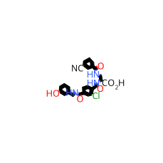 N#Cc1cccc(C(=O)NC[C@H](NC(=O)c2ccc(C(=O)NCc3cccc(O)c3)cc2Cl)C(=O)O)c1